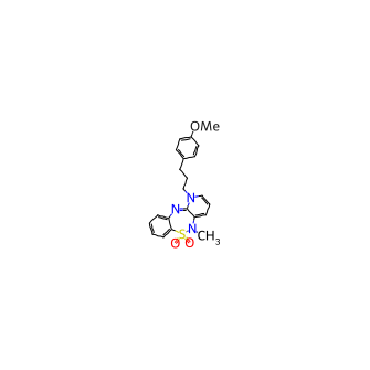 COc1ccc(CCCN2C=CC=C3C2=Nc2ccccc2S(=O)(=O)N3C)cc1